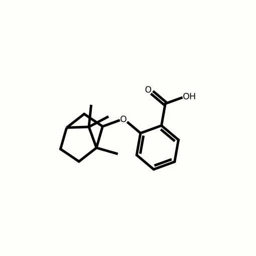 CC1(C)C2CCC1(C)C(Oc1ccccc1C(=O)O)C2